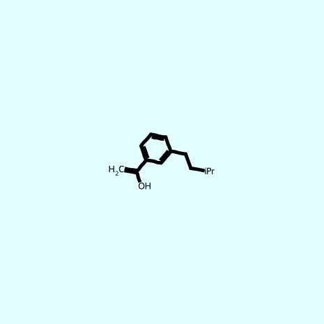 C=C(O)c1cccc(CCC(C)C)c1